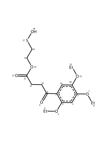 CCOc1cc(OCC)c(C(=O)CCC(=O)OCCSO)cc1OCC